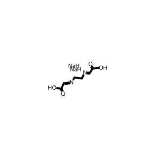 O=C(O)/C=N/CC/N=C/C(=O)O.[NaH].[NaH]